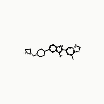 Cc1cc(-c2[nH]c3ccc(C4CCN(C[C@@H]5CCN5)CC4)cc3c2C(C)C)cn2ncnc12